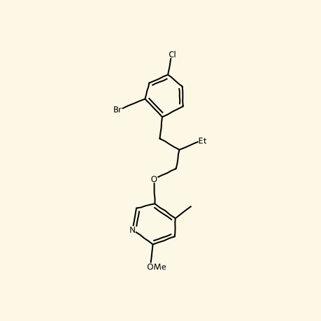 CCC(COc1cnc(OC)cc1C)Cc1ccc(Cl)cc1Br